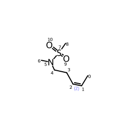 C/C=C\CCN(C)S(C)(=O)=O